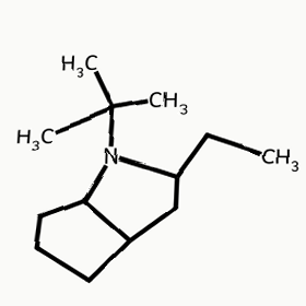 CCC1CC2CCCC2N1C(C)(C)C